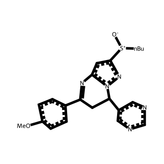 CCCC[S+]([O-])c1cc2n(n1)C(c1cncnc1)CC(c1ccc(OC)cc1)=N2